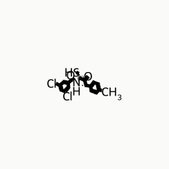 Cc1ccc([CH]C(=O)[C@@H](CS)NC(=O)c2cc(Cl)cc(Cl)c2)cc1